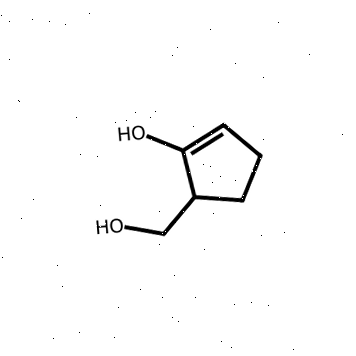 OCC1CCC=C1O